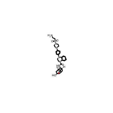 NCCS(=O)(=O)N1CCN(c2ccc(N3CCN(C(=O)NC4[C@@H]5CC6C[C@H]4CC(O)(C6)C5)c4ccccc43)cc2)CC1